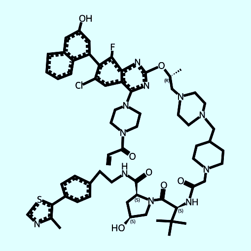 C=CC(=O)N1CCN(c2nc(O[C@H](C)CN3CCN(CC4CCN(CC(=O)N[C@H](C(=O)N5C[C@@H](O)C[C@H]5C(=O)NCCc5ccc(-c6scnc6C)cc5)C(C)(C)C)CC4)CC3)nc3c(F)c(-c4cc(O)cc5ccccc45)c(Cl)cc23)CC1